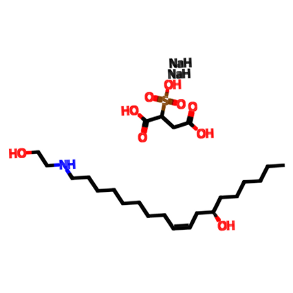 CCCCCC[C@@H](O)C/C=C\CCCCCCCCNCCO.O=C(O)CC(C(=O)O)S(=O)(=O)O.[NaH].[NaH]